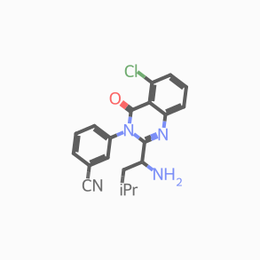 CC(C)CC(N)c1nc2cccc(Cl)c2c(=O)n1-c1cccc(C#N)c1